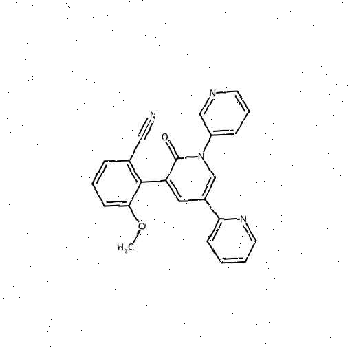 COc1cccc(C#N)c1-c1cc(-c2ccccn2)cn(-c2cccnc2)c1=O